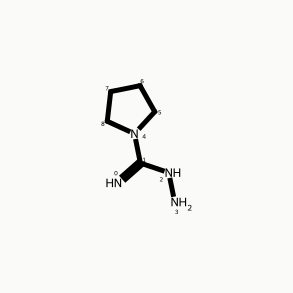 N=C(NN)N1CCCC1